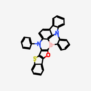 c1ccc(N2c3ccc4c5ccccc5n5c4c3B(c3ccccc3-5)c3oc4c(sc5ccccc54)c32)cc1